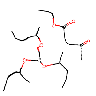 CCC(C)[O][Ti]([O]C(C)CC)[O]C(C)CC.CCOC(=O)CC(C)=O